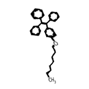 CCCCCCCCOc1ccc(C(=C(c2ccccc2)c2ccccc2)c2ccccc2)cc1